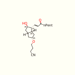 CCCCCC(=O)C=C[C@@H]1[C@@H]2C[C@H](OCCCC#N)C[C@H]2C[C@H]1O